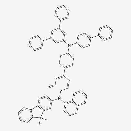 C=C/C=C(\C=C/CN(c1ccc2c(c1)C(C)(C)c1ccccc1-2)c1cccc2ccccc12)C1=CC=C(N(c2ccc(-c3ccccc3)cc2)c2cc(-c3ccccc3)cc(-c3ccccc3)c2)CC1